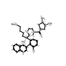 COCCCC[C@](O)(c1cccc(Cl)c1-c1cnc2ccccc2c1)[C@H]1CN(C(=O)[C@H]2C[C@@H](N)[C@@H](O)C2)CCO1